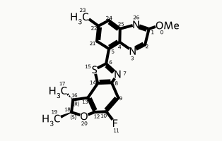 COc1cnc2c(-c3nc4cc(F)c5c(c4s3)[C@@H](C)[C@H](C)O5)cc(C)cc2n1